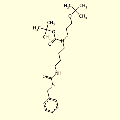 CC(C)(C)OCCCN(CCCCNC(=O)OCc1ccccc1)C(=O)OC(C)(C)C